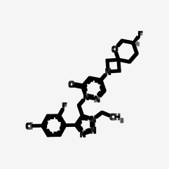 CCn1nnc(-c2ccc(Cl)cc2F)c1Cn1ncc(N2CC3(CC[C@H](F)CO3)C2)cc1=O